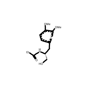 CCC(=O)N[C@@H](CO)Cc1ccc(OC)c(OC)c1